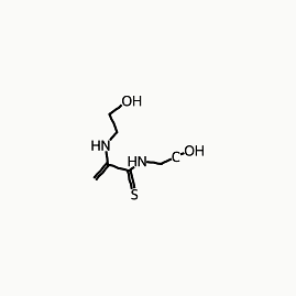 C=C(NCCO)C(=S)NCCO